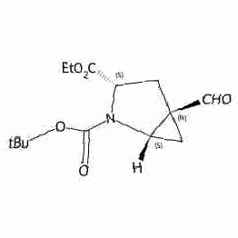 CCOC(=O)[C@@H]1C[C@]2(C=O)C[C@@H]2N1C(=O)OC(C)(C)C